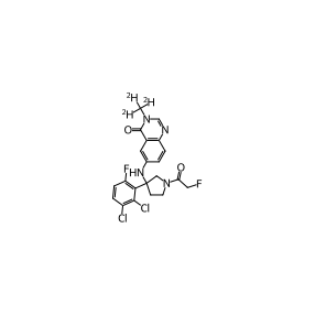 [2H]C([2H])([2H])n1cnc2ccc(NC3(c4c(F)ccc(Cl)c4Cl)CCN(C(=O)CF)C3)cc2c1=O